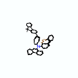 CC1(C)c2ccccc2-c2ccc(-c3ccc(N(c4cc5ccccc5c5ccccc45)c4cccc5c4sc4ccccc45)cc3)cc21